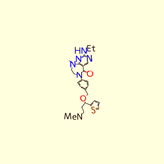 CCNc1ncc2c(n1)N(C)CCN(c1ccc(COC(CCNC)c3cccs3)cc1)C2=O